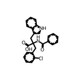 O=C(NC(Cc1ccccc1Cl)(Cc1c[nH]c2ccccc12)C(=O)O)c1ccccc1